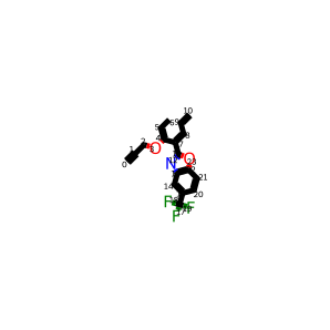 C#CCOC(=C/C)/C(=C\C=C)c1nc2cc(C(F)(F)F)ccc2o1